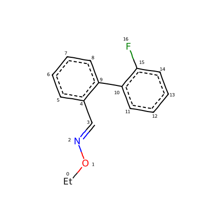 CCO/N=C/c1ccccc1-c1ccccc1F